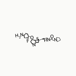 Nc1ccc(Oc2ccnc3cc(C#CCNC(=O)CN4CCCC4)sc23)c(F)c1